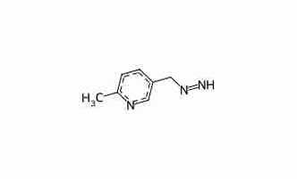 Cc1ccc(CN=N)cn1